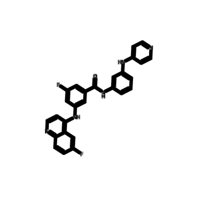 O=C(Nc1cccc(Nc2ccncc2)c1)c1cc(F)cc(Nc2ccnc3ccc(F)cc23)c1